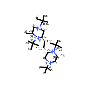 C[C@@H]1CN(C(C)(C)C)C[C@H](CC[C@H]2CN(C(C)(C)C)C[C@H](C)N2C(C)(C)C)N1C(C)(C)C